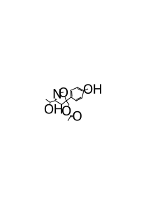 CC(=O)OCC1(c2ccc(O)cc2)CC(C(C)O)=NO1